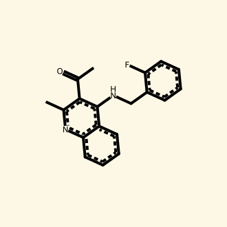 CC(=O)c1c(C)nc2ccccc2c1NCc1ccccc1F